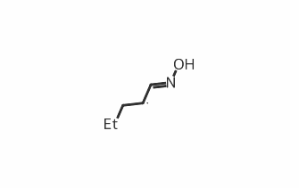 CCC[CH]C=NO